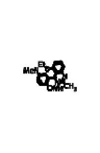 CCOc1cccc2nc(C)nc(-c3cc(NC)ccc3OC)c12